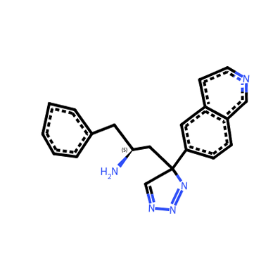 N[C@@H](Cc1ccccc1)CC1(c2ccc3cnccc3c2)C=NN=N1